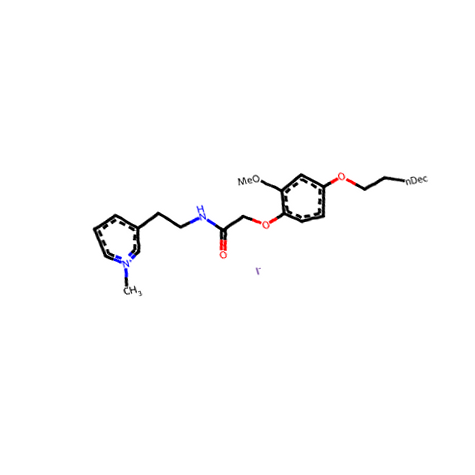 CCCCCCCCCCCCOc1ccc(OCC(=O)NCCc2ccc[n+](C)c2)c(OC)c1.[I-]